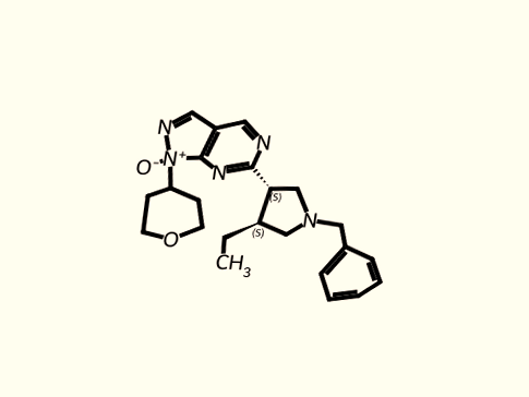 CC[C@@H]1CN(Cc2ccccc2)C[C@H]1c1ncc2c(n1)[N+]([O-])(C1CCOCC1)N=C2